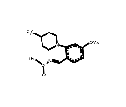 COc1ccc(/C=N/[S+]([O-])C(C)(C)C)c(N2CCC(C(F)(F)F)CC2)c1